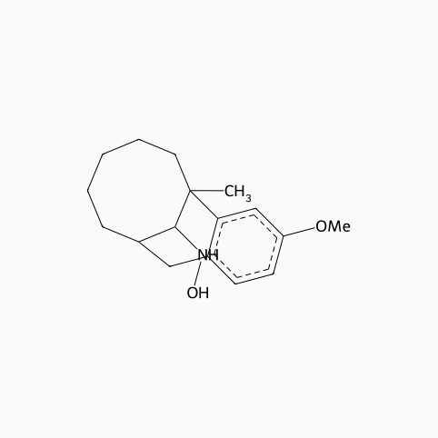 COc1ccc2c(c1)C1(C)CCCCCC(C2)C1NO